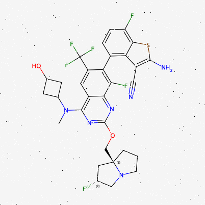 CN(c1nc(OC[C@@]23CCCN2C[C@H](F)C3)nc2c(F)c(-c3ccc(F)c4sc(N)c(C#N)c34)c(C(F)(F)F)cc12)C1CC(O)C1